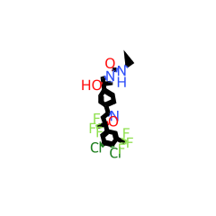 O=C(NC1CC1)N1CC(O)(c2ccc(C3=NOC(c4cc(Cl)c(Cl)c(C(F)(F)F)c4)(C(F)(F)F)C3)cc2)C1